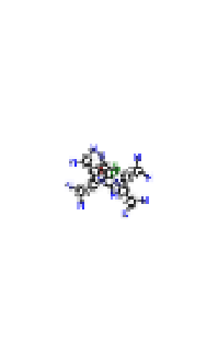 N#Cc1cc(C#N)cc(-c2ccc3c(c2)c2cc(-c4cc(C#N)cc(C#N)c4)ccc2n3-c2cc(-c3ccc(C#N)cc3C(F)(F)F)c(-n3c4ccc(-c5cc(C#N)cc(C#N)c5)cc4c4cc(-c5cc(C#N)cc(C#N)c5)ccc43)cc2C#N)c1